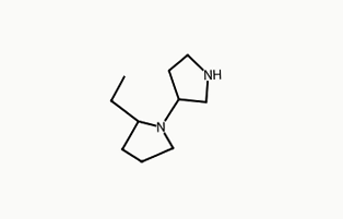 CCC1CCCN1C1CCNC1